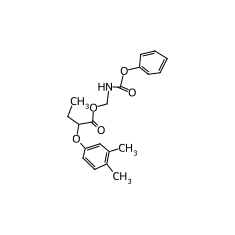 CCC(Oc1ccc(C)c(C)c1)C(=O)OCNC(=O)Oc1ccccc1